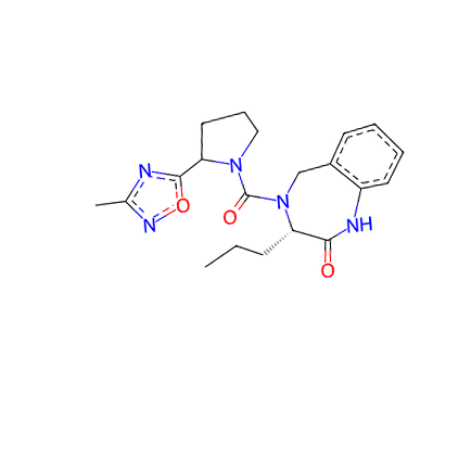 CCC[C@H]1C(=O)Nc2ccccc2CN1C(=O)N1CCCC1c1nc(C)no1